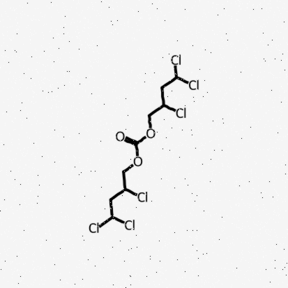 O=C(OCC(Cl)CC(Cl)Cl)OCC(Cl)CC(Cl)Cl